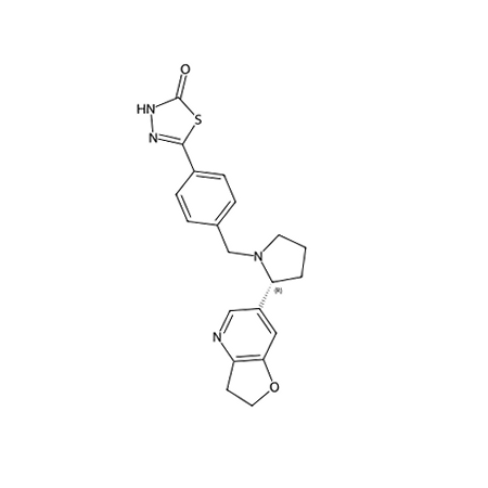 O=c1[nH]nc(-c2ccc(CN3CCC[C@@H]3c3cnc4c(c3)OCC4)cc2)s1